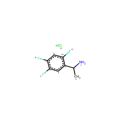 CC(N)c1cc(F)c(F)cc1F.Cl